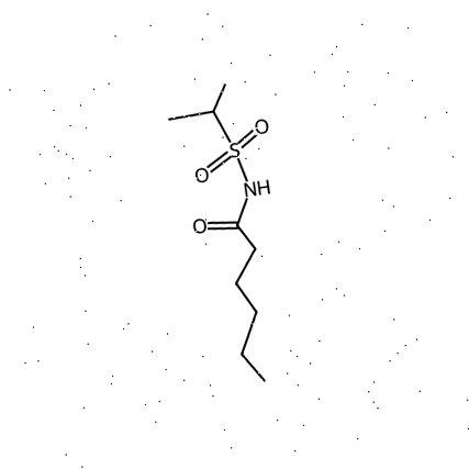 CCCCCC(=O)NS(=O)(=O)C(C)C